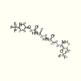 C=C/C(OC(F)(F)F)=C(\N)C/C=C/C(=O)NCCC(=C)NC(=O)COc1ccc(C(F)(F)F)nc1